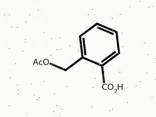 CC(=O)OCc1ccccc1C(=O)O